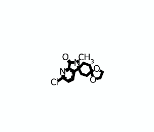 CN1C(=O)c2nc(Cl)ccc2C12CCC1(CC2)OCCO1